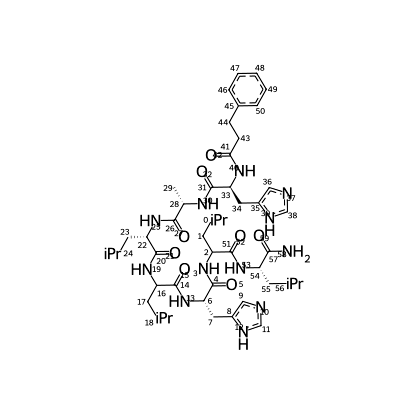 CC(C)CC(NC(=O)[C@H](Cc1cnc[nH]1)NC(=O)C(CC(C)C)NC(=O)[C@H](CC(C)C)NC(=O)[C@H](C)NC(=O)[C@H](Cc1cnc[nH]1)NC(=O)CCc1ccccc1)C(=O)N[C@@H](CC(C)C)C(N)=O